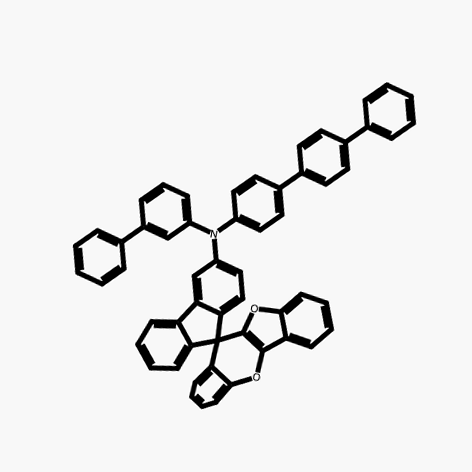 c1ccc(-c2ccc(-c3ccc(N(c4cccc(-c5ccccc5)c4)c4ccc5c(c4)-c4ccccc4C54c5ccccc5Oc5c4oc4ccccc54)cc3)cc2)cc1